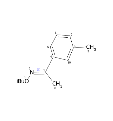 C/C(=N\OCC(C)C)c1cc[c]c(C)c1